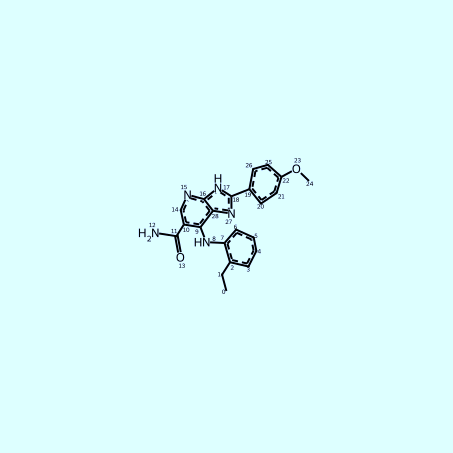 CCc1ccccc1Nc1c(C(N)=O)cnc2[nH]c(-c3ccc(OC)cc3)nc12